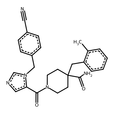 Cc1ccccc1CC1(C(N)=O)CCN(C(=O)c2cncn2Cc2ccc(C#N)cc2)CC1